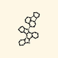 c1ccc2c(c1)-c1cccc3c(-n4c5ccccc5c5c4c4ccccc4c4nc6ccccc6n45)ccc-2c13